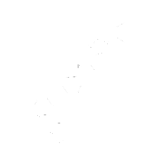 CCCNC(=O)c1ncccc1Oc1ccc(NC(=O)c2nnn(-c3ccccc3)c2C)cc1